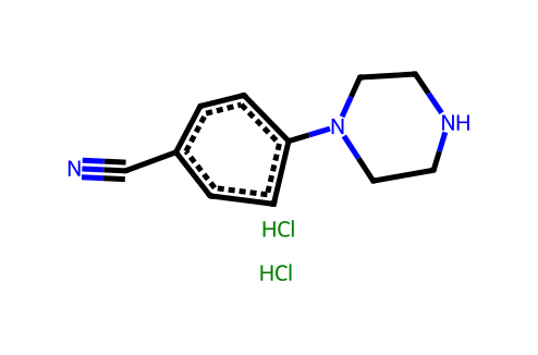 Cl.Cl.N#Cc1ccc(N2CCNCC2)cc1